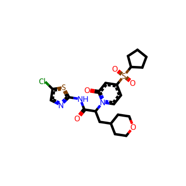 O=C(Nc1ncc(Cl)s1)C(CC1CCOCC1)n1ccc(S(=O)(=O)C2CCCC2)cc1=O